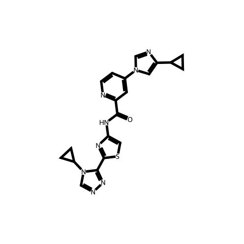 O=C(Nc1csc(-c2nncn2C2CC2)n1)c1cc(-n2cnc(C3CC3)c2)ccn1